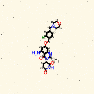 Cc1nc2cc(OCc3ccc(CN4CCOCC4)cc3F)cc(N)c2c(=O)n1[C@H]1CCC(=O)NC1=O